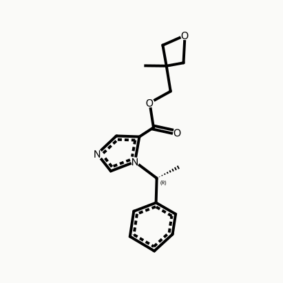 C[C@H](c1ccccc1)n1cncc1C(=O)OCC1(C)COC1